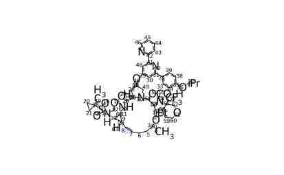 CC[C@@H]1O[C@H](C)CC/C=C\[C@@H]2C[C@@]2(C(=O)NS(=O)(=O)C2(C)CC2)NC(=O)[C@@H]2C[C@@H](Oc3cc(-c4ccc(OC(C)C)cc4)nc(-c4ccccn4)c3)CN2C(=O)[C@H]1N(C(=O)O)C1(C(F)(F)F)CCCOC1